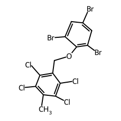 Cc1c(Cl)c(Cl)c(COc2c(Br)cc(Br)cc2Br)c(Cl)c1Cl